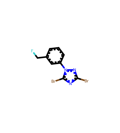 FCc1cccc(-n2nc(Br)nc2Br)c1